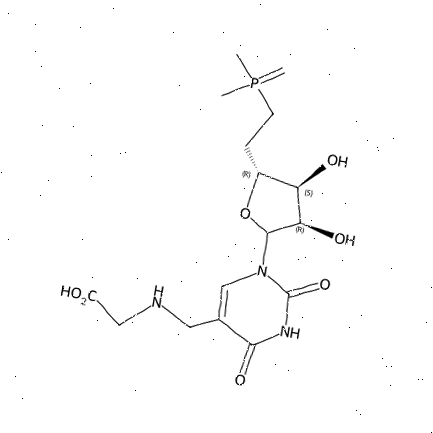 C=P(C)(C)CC[C@H]1OC(n2cc(CNCC(=O)O)c(=O)[nH]c2=O)[C@H](O)[C@@H]1O